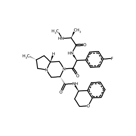 CN[C@@H](C)C(=O)N[C@H](C(=O)N1C[C@H]2C[C@@H](C)CN2C[C@H]1C(=O)N[C@@H]1CCOc2ccccc21)c1ccc(F)cc1